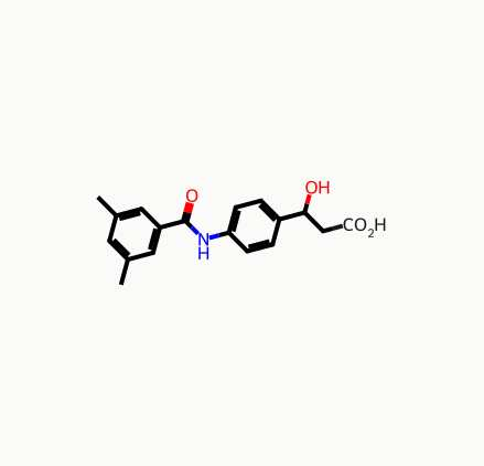 Cc1cc(C)cc(C(=O)Nc2ccc(C(O)CC(=O)O)cc2)c1